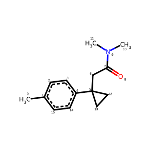 Cc1ccc(C2(CC(=O)N(C)C)CC2)cc1